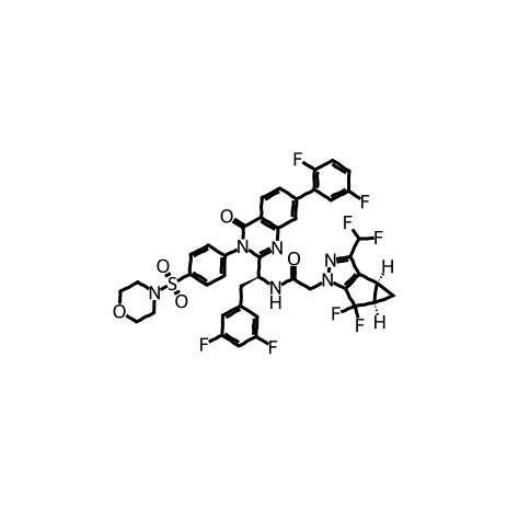 O=C(Cn1nc(C(F)F)c2c1C(F)(F)[C@@H]1C[C@H]21)N[C@@H](Cc1cc(F)cc(F)c1)c1nc2cc(-c3cc(F)ccc3F)ccc2c(=O)n1-c1ccc(S(=O)(=O)N2CCOCC2)cc1